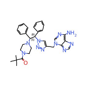 CC(C)(C)C(=O)N1CCN([C@@H](c2ccccc2)[C@@H](c2ccccc2)n2cc(Cn3cnc(N)c4ncnc3-4)nn2)CC1